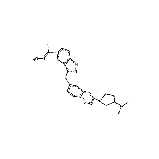 CC(=NO)c1ccc2nnc(Sc3ccc4ncc(N5CCC(N(C)C)C5)cc4c3)n2n1